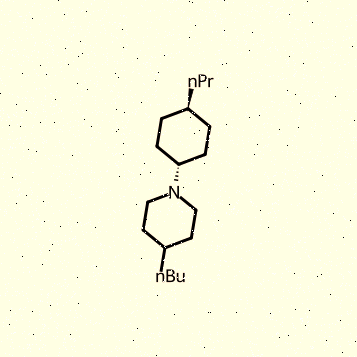 CCCCC1CCN([C@H]2CC[C@H](CCC)CC2)CC1